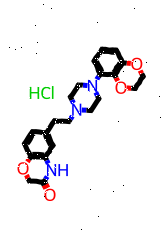 Cl.O=C1COc2ccc(CCN3CCN(c4cccc5c4OCCO5)CC3)cc2N1